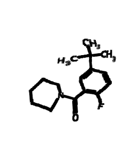 CC(C)(C)c1ccc(F)c(C(=O)N2CCCCC2)c1